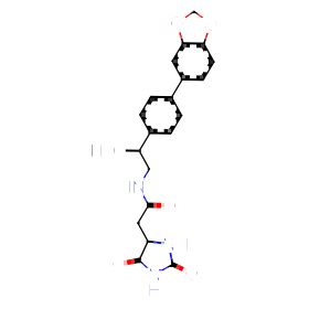 CC(CNC(=O)CC1NC(=O)NC1=O)c1ccc(-c2ccc3c(c2)OCO3)cc1